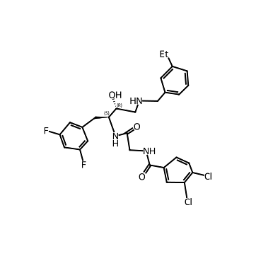 CCc1cccc(CNC[C@@H](O)[C@H](Cc2cc(F)cc(F)c2)NC(=O)CNC(=O)c2ccc(Cl)c(Cl)c2)c1